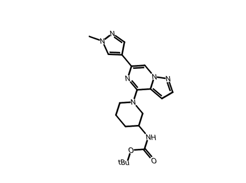 Cn1cc(-c2cn3nccc3c(N3CCCC(NC(=O)OC(C)(C)C)C3)n2)cn1